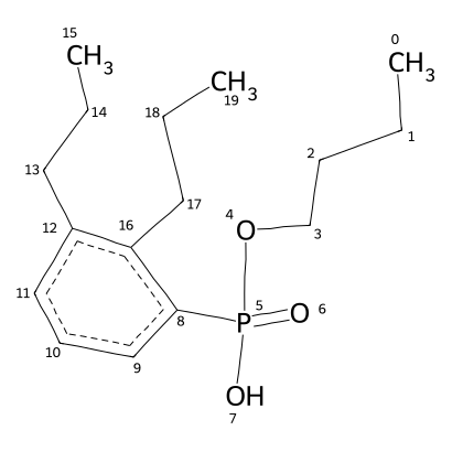 CCCCOP(=O)(O)c1cccc(CCC)c1CCC